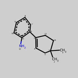 CC1(C)CC=C(c2ccccc2N)CC1